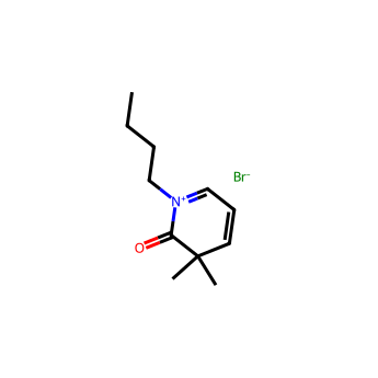 CCCC[N+]1=CC=CC(C)(C)C1=O.[Br-]